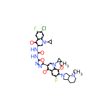 COc1c(N2CC3CCCN(C)C3C2)c(F)cc2c(=O)c(-c3nnc(NC(=O)Nc4cn(C5CC5)c5cc(Cl)c(F)cc5c4=O)o3)cn(C3CC3)c12